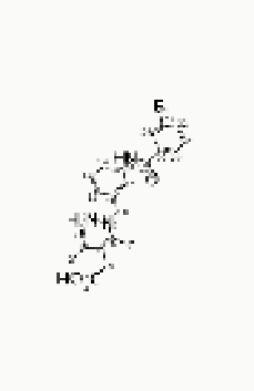 C=C(C)/C(CC(=O)O)=C(/C)N(N)Cc1cccc(NC(=O)c2cccc(F)c2)c1